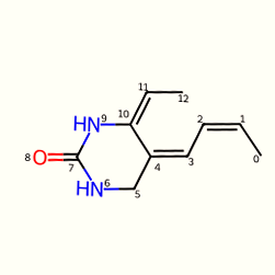 C\C=C/C=C1/CNC(=O)N/C1=C/C